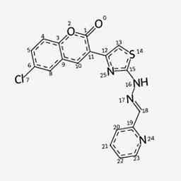 O=c1oc2ccc(Cl)cc2cc1-c1csc(NN=Cc2ccccn2)n1